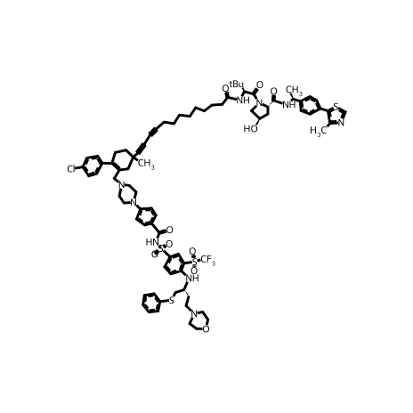 Cc1ncsc1-c1ccc([C@H](C)NC(=O)[C@@H]2C[C@@H](O)CN2C(=O)[C@@H](NC(=O)CCCCCCCCC#CC#CC2(C)CCC(c3ccc(Cl)cc3)=C(CN3CCN(c4ccc(C(=O)NS(=O)(=O)c5ccc(N[C@H](CCN6CCOCC6)CSc6ccccc6)c(S(=O)(=O)C(F)(F)F)c5)cc4)CC3)C2)C(C)(C)C)cc1